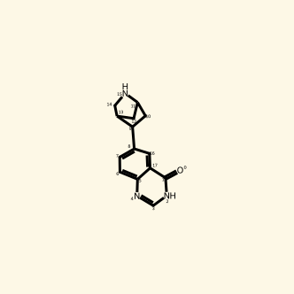 O=c1[nH]cnc2ccc(C3CC4CC3CN4)cc12